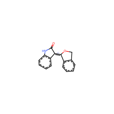 O=C1Nc2ccccc2/C1=C1/OCc2ccccc21